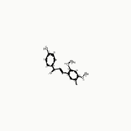 Cc1cc(C=CC(=O)c2ccc(O)cc2)c(OC(C)(C)C)cc1OC(C)(C)C